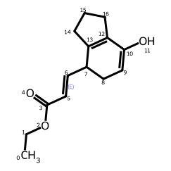 CCOC(=O)/C=C/C1CC=C(O)C2=C1CCC2